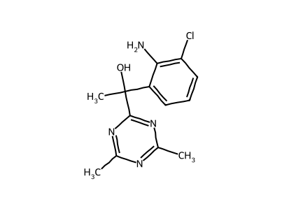 Cc1nc(C)nc(C(C)(O)c2cccc(Cl)c2N)n1